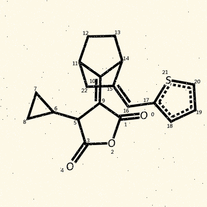 O=C1OC(=O)C(C2CC2)C1=C1C2CCC1C(=Cc1cccs1)C2